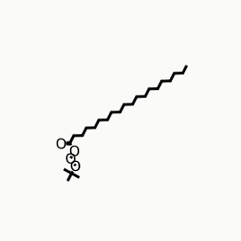 CCCCCCCCCCCCCCCCCCCC(=O)OOOC(C)(C)C